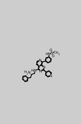 CS(=O)(=O)Nc1cccc(-c2nccc3c(NC[C@@H](N)Cc4ccccc4)nc(-c4ccncc4)nc23)c1